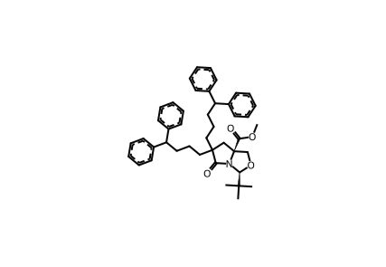 COC(=O)[C@@]12CO[C@@H](C(C)(C)C)N1C(=O)C(CCCC(c1ccccc1)c1ccccc1)(CCCC(c1ccccc1)c1ccccc1)C2